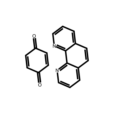 O=C1C=CC(=O)C=C1.c1cnc2c(c1)ccc1cccnc12